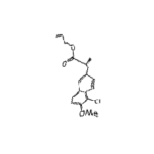 C=CCOC(=O)[C@@H](C)c1ccc2c(Cl)c(OC)ccc2c1